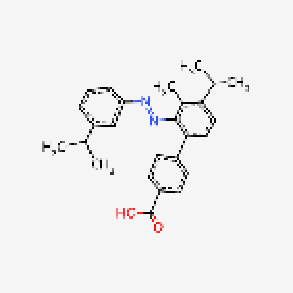 Cc1c(C(C)C)ccc(-c2ccc(C(=O)O)cc2)c1N=Nc1cccc(C(C)C)c1